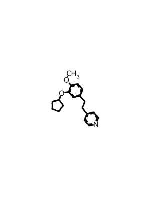 COc1ccc(CCc2ccncc2)cc1OC1CCCC1